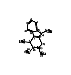 CC(C)(C)C1c2c(n(C(C)(C)C)c3ccccc23)CN(C(C)(C)C)N1C(C)(C)C